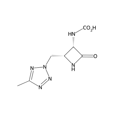 Cc1nnn(C[C@H]2NC(=O)[C@H]2NC(=O)O)n1